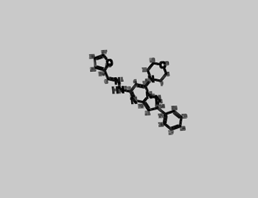 C(=NNc1cc(N2CCOCC2)n2nc(-c3ccccc3)cc2n1)c1ccco1